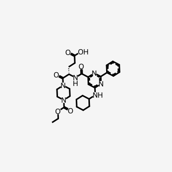 CCOC(=O)N1CCN(C(=O)[C@H](CCC(=O)O)NC(=O)c2cc(NC3CCCCC3)nc(-c3ccccc3)n2)CC1